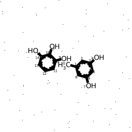 Cc1cc(O)cc(O)c1.Oc1cccc(O)c1O